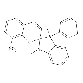 CN1c2ccccc2C(C)(c2ccccc2)C12C=Cc1cccc([N+](=O)[O-])c1O2